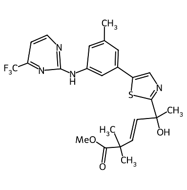 COC(=O)C(C)(C)C=CC(C)(O)c1ncc(-c2cc(C)cc(Nc3nccc(C(F)(F)F)n3)c2)s1